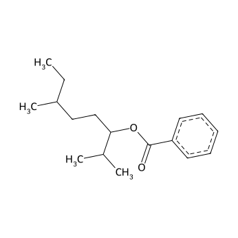 CCC(C)CCC(OC(=O)c1ccccc1)C(C)C